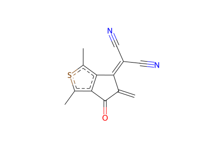 C=C1C(=O)c2c(C)sc(C)c2C1=C(C#N)C#N